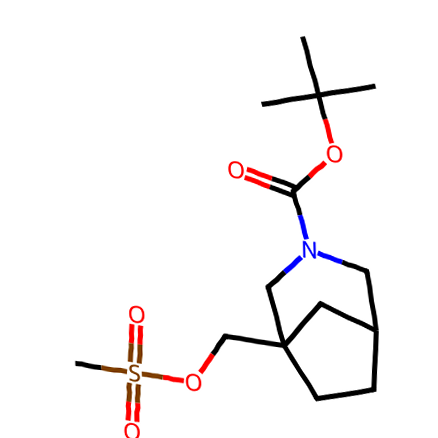 CC(C)(C)OC(=O)N1CC2CCC(COS(C)(=O)=O)(C2)C1